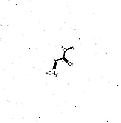 C=CC(=O)OC.[CH3]